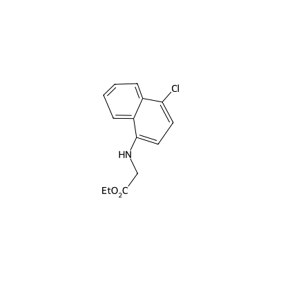 CCOC(=O)CNc1ccc(Cl)c2ccccc12